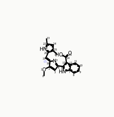 COC1=CC(c2[nH]c3ccccc3c2C(=O)O)=N/C1=C\c1[nH]c(C)cc1C